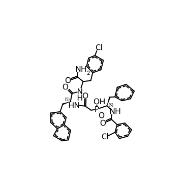 NC(=O)C(Cc1ccc(Cl)cc1)NC(=O)[C@H](Cc1ccc2ccccc2c1)NC(=O)CP(=O)(O)[C@@H](Cc1ccccc1)NC(=O)c1ccccc1Cl